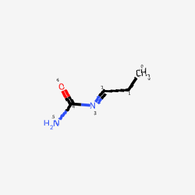 CCC=NC(N)=O